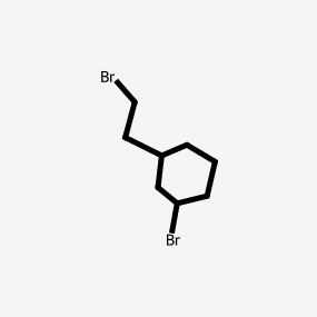 BrCCC1CCCC(Br)C1